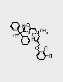 C[N+](C)(CCCOc1cccc(Cl)c1Cl)Cc1nc(C(O)(c2ccccc2)C2CCCCC2)no1